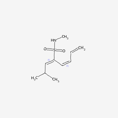 C=C/C=C\C(=C/C(C)C)S(=O)(=O)NC